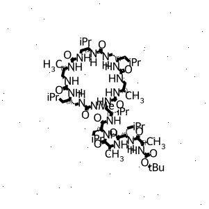 CNC(=O)NC[C@H](CC(C)C)NC(=O)NC[C@H](C)NC(=O)NC[C@@H](NC(=O)NC[C@H](CC(C)C)NC(=O)NC[C@H](C)NC(=O)NC[C@@H](NC(=O)[C@H](CC(C)C)NC(=O)C(C)NC(=O)[C@H](CC(C)C)NC(=O)[C@H](C)NC(=O)OC(C)(C)C)C(C)C)C(C)C